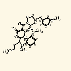 CCCCc1nc(=O)c(C(=O)N2CCN(Cc3cccc(C)c3)CC2)c(O)n1-c1c(OC)cccc1OC